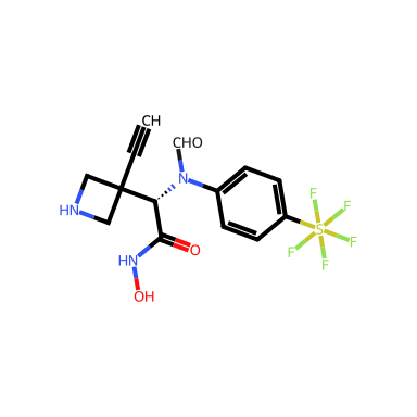 C#CC1([C@@H](C(=O)NO)N(C=O)c2ccc(S(F)(F)(F)(F)F)cc2)CNC1